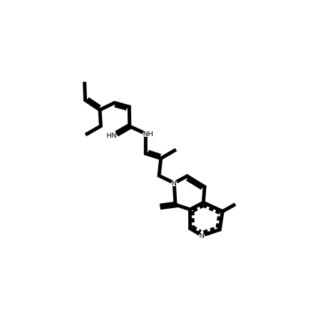 C=C1c2cncc(C)c2C=CN1C/C(C)=C/NC(=N)/C=C\C(=C/C)CC